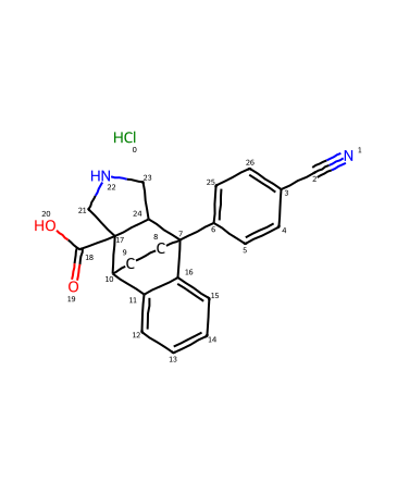 Cl.N#Cc1ccc(C23CCC(c4ccccc42)C2(C(=O)O)CNCC32)cc1